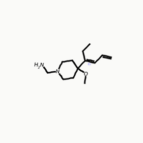 C=C/C=C(\CC)C1(OC)CCN(CN)CC1